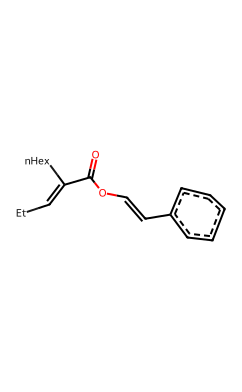 CCC=C(CCCCCC)C(=O)OC=Cc1ccccc1